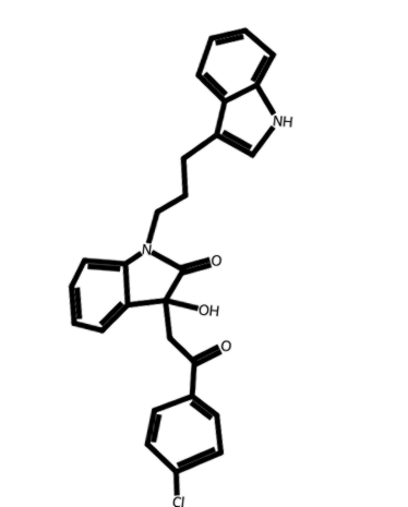 O=C(CC1(O)C(=O)N(CCCc2c[nH]c3ccccc23)c2ccccc21)c1ccc(Cl)cc1